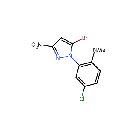 CNc1c[c]c(Cl)cc1-n1nc([N+](=O)[O-])cc1Br